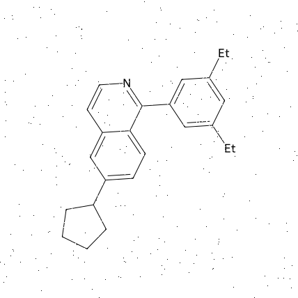 CCc1cc(CC)cc(-c2nccc3cc(C4CCCC4)ccc23)c1